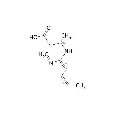 C=N/C(=C\C=C/C)N[C@@H](C)CC(=O)O